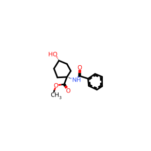 COC(=O)[C@]1(NC(=O)c2ccccc2)CC[C@@H](O)CC1